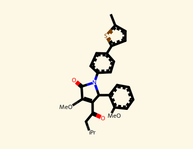 COC1=C(C(=O)CC(C)C)C(c2ccccc2OC)N(c2ccc(-c3ccc(C)s3)cc2)C1=O